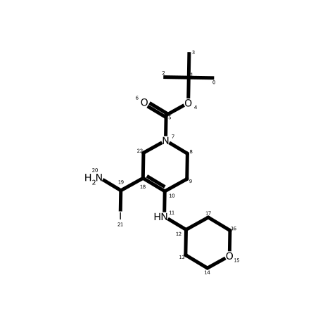 CC(C)(C)OC(=O)N1CCC(NC2CCOCC2)=C(C(N)I)C1